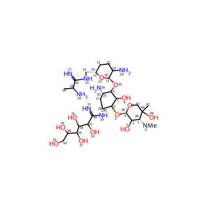 CN[C@@H]1C(O)[C@@H](OC2C(O)C(O[C@H]3O[C@H](CNC(=N)C(C)N)CCC3N)[C@@H](N)C[C@H]2NC(=N)C(O)C(O)C(O)C(O)CO)OCC1(C)O